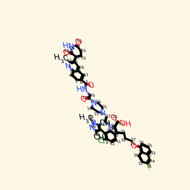 Cc1nc2ccc(C(=O)NCC(=O)N3CCN(CCn4c(C(=O)O)c(CCCOc5cccc6cc(F)ccc56)c5ccc(Cl)c(-c6c(C)nn(C)c6C)c54)CC3)cc2cc1C1CCC(=O)NC1=O